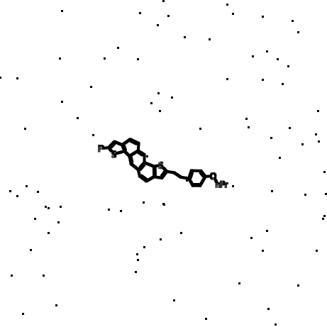 CCCOc1ccc(CCc2cc3ccc4cc5c(ccc6cc(F)sc65)cc4c3s2)cc1